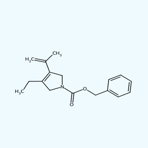 C=C(C)C1=C(CC)CN(C(=O)OCc2ccccc2)C1